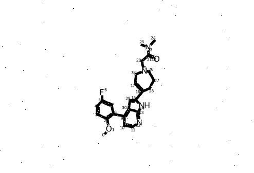 COc1ccc(F)cc1-c1ccnc2[nH]c(C3=CCN(CC(=O)N(C)C)CCC3)cc12